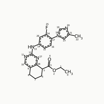 CCOC(=O)C1CCCc2cnc(Nc3ccc(-n4cnc(C)c4)c(F)c3)nc21